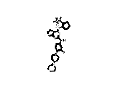 CN(c1ccccc1Nc1nc(Nc2ccc(N3CCC(N4CCOCC4)CC3)c(F)c2)nc2[nH]ccc12)S(C)(=O)=O